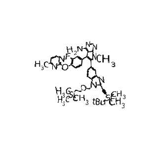 Cc1ccnc(Oc2ccc(-c3c(-c4ccc5c(c4)nc(C#C[Si](C)(C)C(C)(C)C)n5COCC[Si](C)(C)C)n(C)c4ncnc(N)c34)cc2F)n1